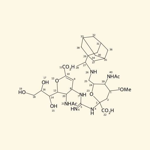 COC1CC(NC(=N)NC2C=C(C(=O)O)OC(C(O)C(O)CO)C2NC(C)=O)(C(=O)O)OC(CNC(C)C23CC4CC(CC(C4)C2)C3)C1NC(C)=O